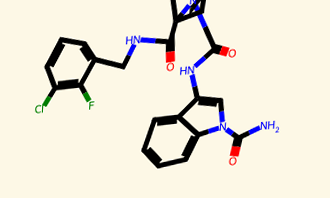 NC(=O)n1cc(NC(=O)N2CC3CC2(C(=O)NCc2cccc(Cl)c2F)C3)c2ccccc21